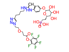 C=C(NCCCCc1cn(CCOCCC(=O)Oc2c(F)c(F)c(F)c(F)c2F)nn1)Nc1ccc(O[C@H]2O[C@H](CCP(=O)(O)O)[C@@H](O)[C@H](O)[C@@H]2O)cc1